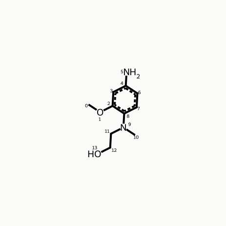 COc1cc(N)ccc1N(C)CCO